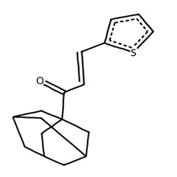 O=C(C=Cc1cccs1)C12CC3CC(CC(C3)C1)C2